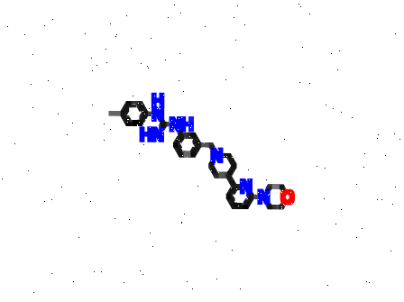 Cc1ccc(NC(=N)Nc2cccc(CN3CC=C(c4cccc(N5CCOCC5)n4)CC3)c2)cc1